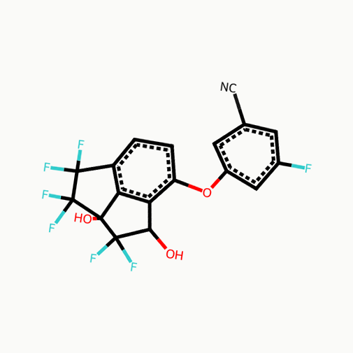 N#Cc1cc(F)cc(Oc2ccc3c4c2C(O)C(F)(F)C4(O)C(F)(F)C3(F)F)c1